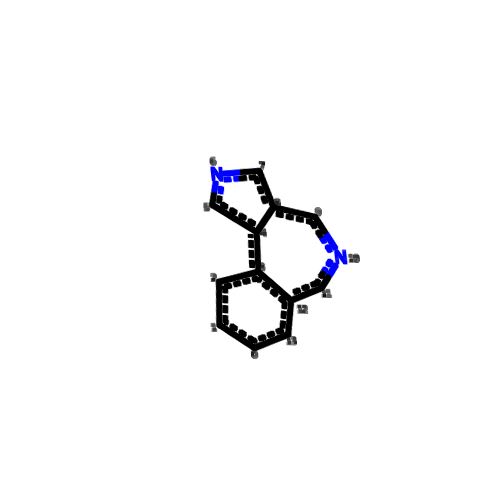 c1ccc2c3cncc-3cncc2c1